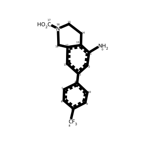 Nc1cc(-c2ccc(C(F)(F)F)cc2)cc2c1CCN(C(=O)O)C2